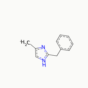 [CH2]c1c[nH]c(Cc2ccccc2)n1